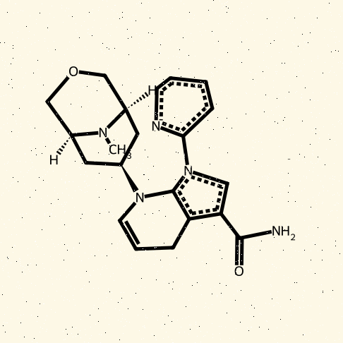 CN1[C@@H]2COC[C@H]1C[C@@H](N1C=CCc3c(C(N)=O)cn(-c4ccccn4)c31)C2